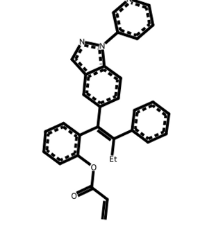 C=CC(=O)Oc1ccccc1/C(=C(\CC)c1ccccc1)c1ccc2c(cnn2-c2cccnc2)c1